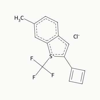 Cc1ccc2cc(C3=CC=C3)[s+](C(F)(F)F)c2c1.[Cl-]